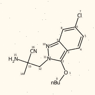 CCCCOc1c2ccc(Cl)cc2nn1CC(C)(N)C#N